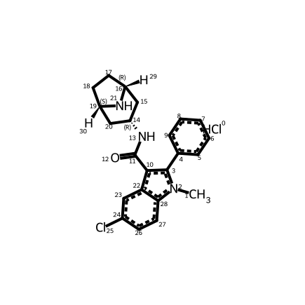 Cl.Cn1c(-c2ccccc2)c(C(=O)N[C@H]2C[C@H]3CC[C@@H](C2)N3)c2cc(Cl)ccc21